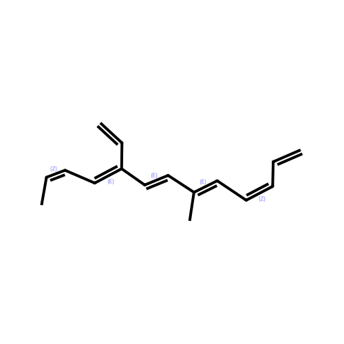 C=C\C=C/C=C(C)/C=C/C(C=C)=C/C=C\C